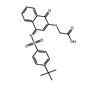 CC(C)(C)c1ccc(S(=O)(=O)N=C2C=C(SCC(=O)O)C(=O)c3ccccc32)cc1